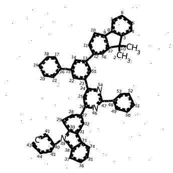 CC1(C)c2ccccc2-c2ccc(-c3cc(-c4ccccc4)cc(-c4cc(-c5ccc6c(c5)c5ccccc5n6-c5ccccc5)nc(-c5ccccc5)n4)c3)cc21